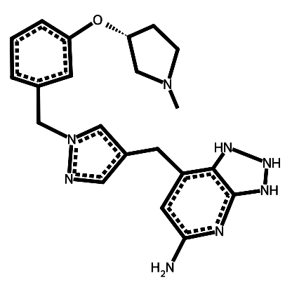 CN1CC[C@@H](Oc2cccc(Cn3cc(Cc4cc(N)nc5c4NNN5)cn3)c2)C1